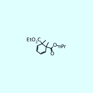 CCCOC(=O)C1(C)C=CC=CC1(C)C(=O)OCC